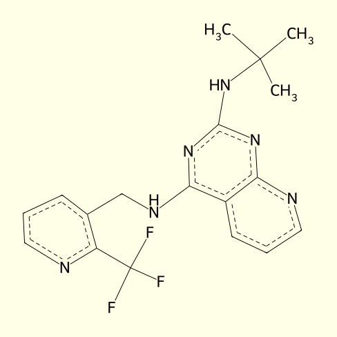 CC(C)(C)Nc1nc(NCc2cccnc2C(F)(F)F)c2cccnc2n1